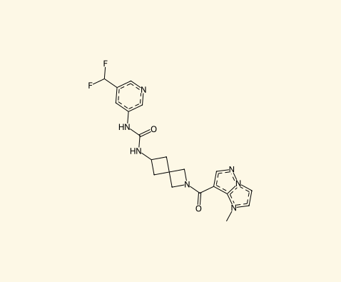 Cn1ccn2ncc(C(=O)N3CC4(CC(NC(=O)Nc5cncc(C(F)F)c5)C4)C3)c12